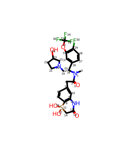 CN(C(=O)Cc1ccc2c(c1)NC(=O)CS2(O)O)[C@H](CN1CCC(O)C1)c1ccc(F)c(OC(F)(F)F)c1